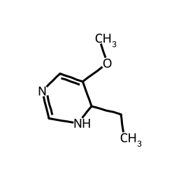 CCC1NC=NC=C1OC